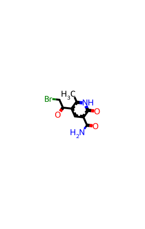 Cc1[nH]c(=O)c(C(N)=O)cc1C(=O)CBr